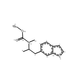 CC(Cc1ccc2ccsc2c1)N(C)C(=O)OC(C)(C)C